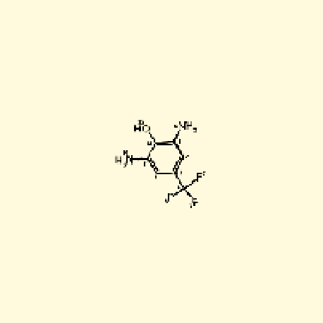 Nc1cc(C(F)(F)F)cc(N)c1O